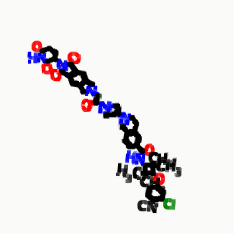 CC1(C)[C@H](NC(=O)c2ccc3c(c2)CCN(C2CN(C(=O)CN4Cc5cc6c(cc5C4)C(=O)N(C4CCC(=O)NC4=O)C6=O)C2)C3)C(C)(C)[C@H]1Oc1ccc(C#N)c(Cl)c1